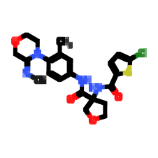 Cc1cc(NC(=O)C2(NC(=O)c3ccc(Cl)s3)CCOC2)ccc1N1CCOC/C1=N/C#N